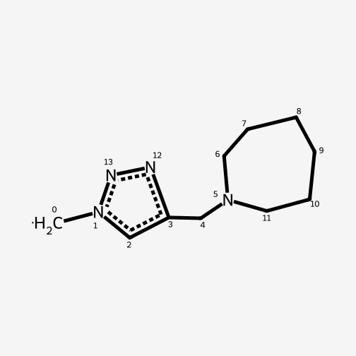 [CH2]n1cc(CN2CCCCCC2)nn1